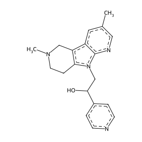 Cc1cnc2c(c1)c1c(n2CC(O)c2ccncc2)CCN(C)C1